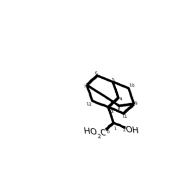 O=C(O)C(O)C12CC3CC(CC(C3)C1)C2